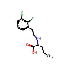 CCC[C@H](NCCc1cccc(F)c1F)C(=O)O